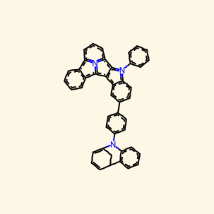 C1=CC2CC(=C1)N(c1ccc(-c3ccc4c(c3)c3c(c5cccc6c7ccccc7c3n65)n4-c3ccccc3)cc1)c1ccccc12